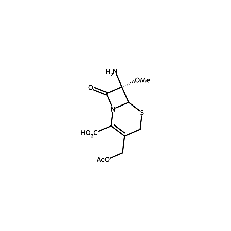 CO[C@@]1(N)C(=O)N2C(C(=O)O)=C(COC(C)=O)CSC21